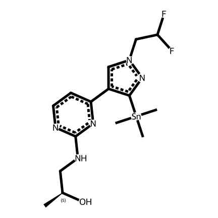 C[C@H](O)CNc1nccc(-c2cn(CC(F)F)n[c]2[Sn]([CH3])([CH3])[CH3])n1